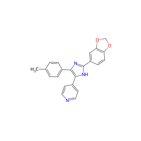 Cc1ccc(-c2nc(-c3ccc4c(c3)OCO4)[nH]c2-c2ccncc2)cc1